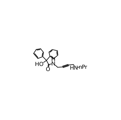 CCCNCC#CCNC(=O)C(O)(c1ccccc1)c1ccccc1